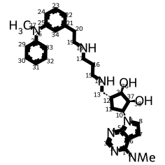 CNc1ncnc2c1ccn2[C@@H]1C[C@H](CNCCCNCCc2cccc(N(C)c3ccccc3)c2)[C@@H](O)[C@H]1O